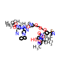 Cc1cc([C@@H](C(=O)N2C[C@H](O)C[C@H]2C(=O)NCc2ccc(-c3scnc3C)cc2OCCOCCO[C@@H]2C[C@@H](COc3nc4c(c(N5CCN(C(=O)OC(C)(C)C)[C@@H](CC#N)C5)n3)CCN(c3cccc5ccccc35)C4)N(C)C2)C(C)C)on1